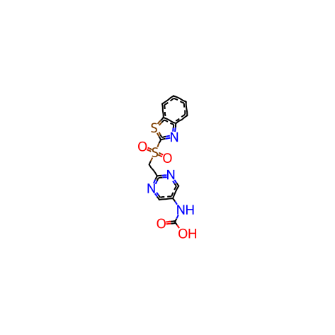 O=C(O)Nc1cnc(CS(=O)(=O)c2nc3ccccc3s2)nc1